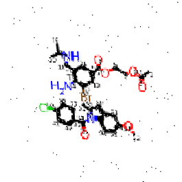 CC(=O)OCCOC(=O)c1cc(Br)c(N)c(CNC(C)C)c1.COc1ccc2c(c1)cc(C)n2C(=O)c1ccc(Cl)cc1